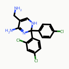 NCC1=CNC(c2ccc(Cl)cc2)(c2ccc(Cl)cc2Cl)N=C1N